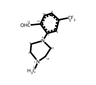 CN1CCN(c2cc(C(F)(F)F)ccc2C=O)CC1